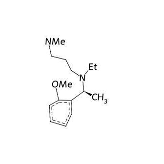 CCN(CCCNC)[C@@H](C)c1ccccc1OC